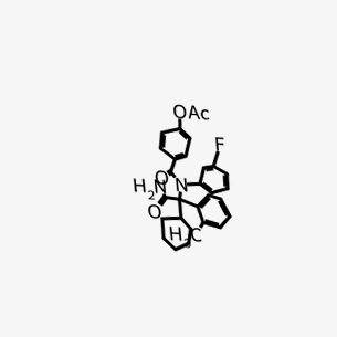 CC(=O)Oc1ccc(C(=O)N(c2cccc(F)c2)C(C(N)=O)(c2ccccc2C)C2CCCCC2)cc1